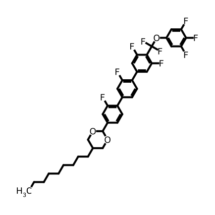 CCCCCCCCCC1COC(c2ccc(-c3ccc(-c4cc(F)c(C(F)(F)Oc5cc(F)c(F)c(F)c5)c(F)c4)c(F)c3)c(F)c2)OC1